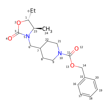 CC[C@H]1OC(=O)N(CC2CCN(C(=O)OCc3ccccc3)CC2)[C@@H]1C